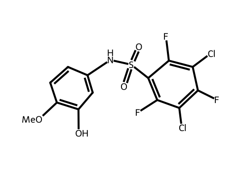 COc1ccc(NS(=O)(=O)c2c(F)c(Cl)c(F)c(Cl)c2F)cc1O